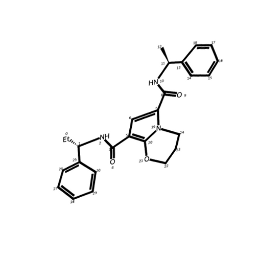 CC[C@H](NC(=O)c1cc(C(=O)N[C@@H](C)c2ccccc2)n2c1OCCC2)c1ccccc1